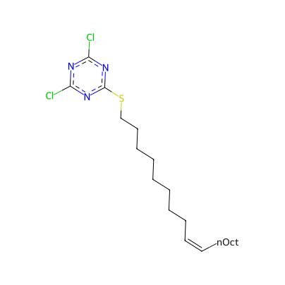 CCCCCCCC/C=C\CCCCCCCCSc1nc(Cl)nc(Cl)n1